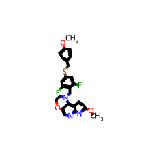 COc1ccc(CSc2cc(F)c(CN3CCOc4cnc5nc(OC)ccc5c43)c(F)c2)cc1